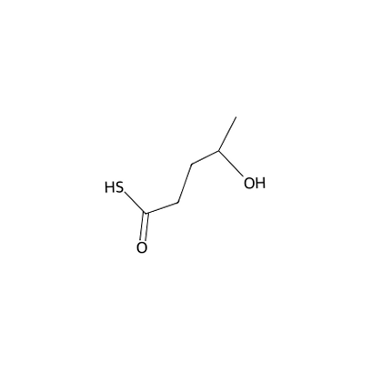 CC(O)CCC(=O)S